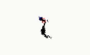 CCC(CCCCCCC1CCC2(C)C(=CCC3C2CCC2(C)C(CCCCC(C)C)CCC32)C1)OC(=O)CCCN(C)C